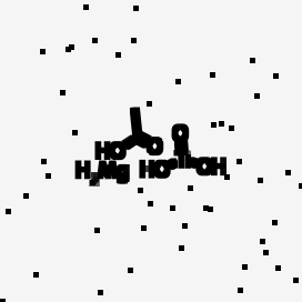 CC(=O)O.[MgH2].[O]=[Ti]([OH])[OH]